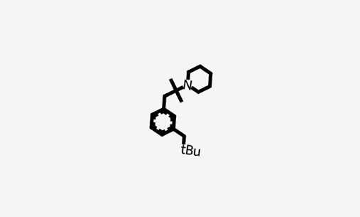 CC(C)(C)Cc1cccc(CC(C)(C)N2CCCCC2)c1